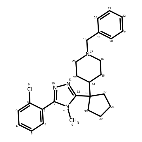 Cn1c(-c2ccccc2Cl)nnc1C1(C2CCN(Cc3ccccc3)CC2)CCCC1